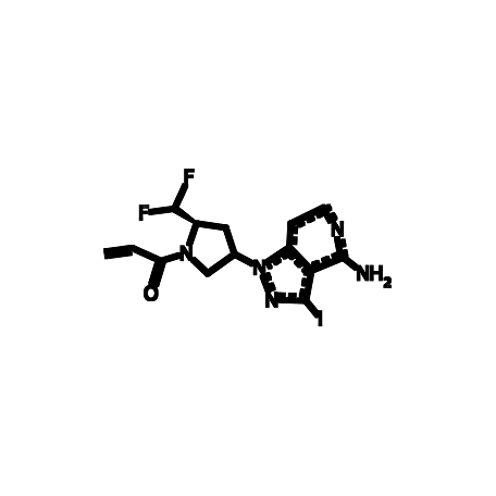 C=CC(=O)N1CC(n2nc(I)c3c(N)nccc32)C[C@@H]1C(F)F